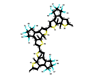 CC1=CC2=C3C(=C4C=C(C5=CC6=C7C(=C8C=C(C9=CC%10=C%11C(=C%12C=C(C)SC%12(C)C%10(C)S9)C(F)(F)C(F)(F)C%11(F)F)SC8(C)C6(C)S5)C(F)(F)C(F)(F)C7(F)F)SC4(C)C2(C)S1)C(F)(F)C(F)(F)C3(F)F